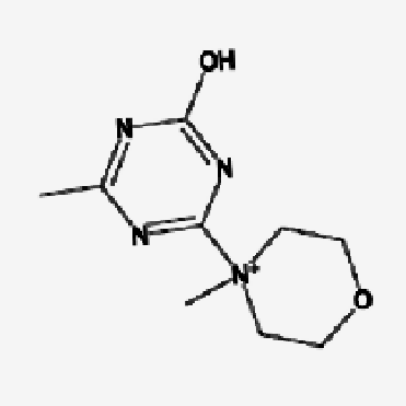 Cc1nc(O)nc([N+]2(C)CCOCC2)n1